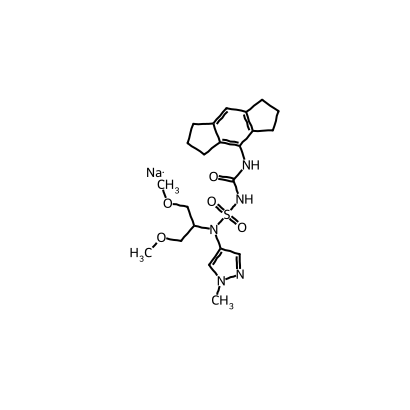 COCC(COC)N(c1cnn(C)c1)S(=O)(=O)NC(=O)Nc1c2c(cc3c1CCC3)CCC2.[Na]